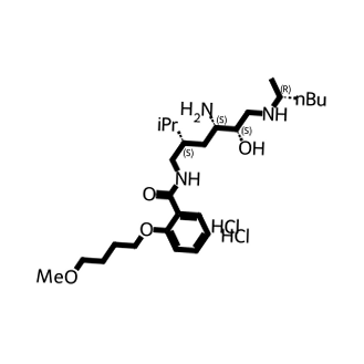 CCCC[C@@H](C)NC[C@H](O)[C@@H](N)C[C@H](CNC(=O)c1ccccc1OCCCCOC)C(C)C.Cl.Cl